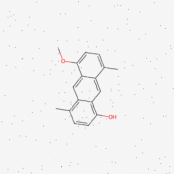 COc1ccc(C)c2cc3c(O)ccc(C)c3cc12